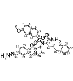 COc1ccc2ccc(S(=O)(=O)N(C(CCCc3ccccc3)C(N)=O)[C@H]3CCN(Cc4cccc(C=NN)c4)C3=O)cc2c1